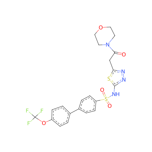 O=C(Cc1nnc(NS(=O)(=O)c2ccc(-c3ccc(OC(F)(F)F)cc3)cc2)s1)N1CCOCC1